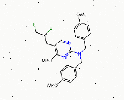 COc1ccc(CN(Cc2ccc(OC)cc2)c2ncc(CC(F)CF)c(OC)n2)cc1